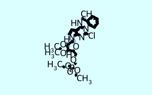 CCOP(=O)(COCC1O[C@@H](n2ccc3c(N[C@H](C)c4ccccc4)nc(Cl)nc32)[C@@H]2OC(C)(C)O[C@H]12)OCC